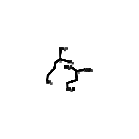 CC(=O)N[C@@H](CCC(=O)O)C(=O)O.NCCC[C@H](N)C(=O)O